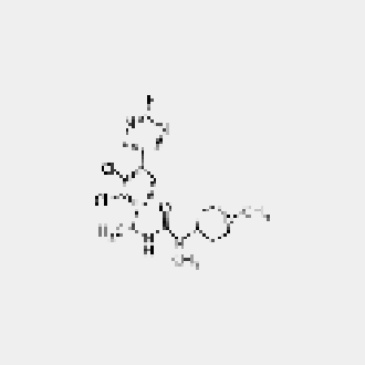 CC(NC(=O)N(C)C1CCN(C)CC1)c1ccc(-c2cnc(F)nc2)c(Cl)c1Cl